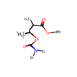 CCCCOC(=O)C(C)C(C)OC(=O)N(CC)CC